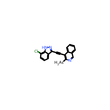 Clc1cccc2c(C#Cc3c([AsH2])ncc4ccccc34)n[nH]c12